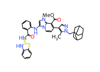 COC(=O)c1c(-c2cnn(CC34CC5CC(CC(C5)C3)C4)c2C)ccn2c(Nc3ccccc3C(=O)N[SH]3Nc4ccccc4S3)cnc12